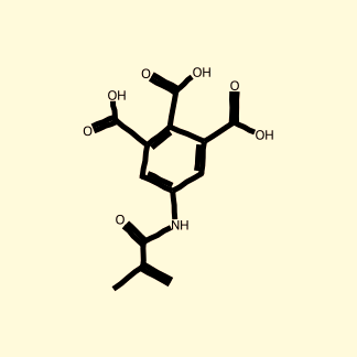 C=C(C)C(=O)Nc1cc(C(=O)O)c(C(=O)O)c(C(=O)O)c1